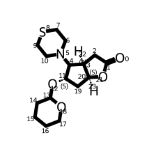 O=C1C[C@@H]2C(N3CCSCC3)[C@@H](OC3CCCCO3)C[C@@H]2O1